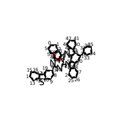 c1ccc(-c2nc(-c3ccc4sc5ccccc5c4c3)nc(-n3c4ccccc4c4cc(-c5ccccc5)c5c6ccccc6n(-c6ccccc6)c5c43)n2)cc1